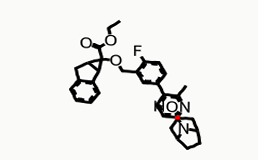 CCOC(=O)C1(OCc2cc(-c3ccc(N4C5CCC4CC(O)C5)nc3C)ccc2F)C2Cc3ccccc3C21